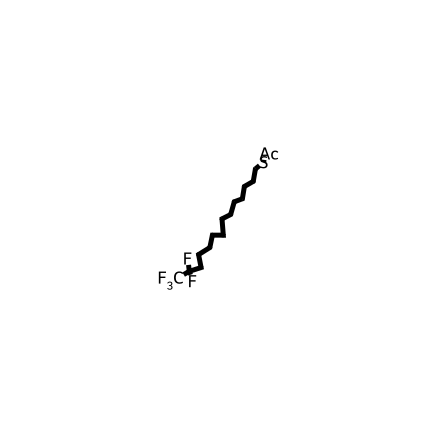 CC(=O)SCCCCCCCCCCCCC(F)(F)C(F)(F)F